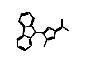 CC1=CC(=C(C)C)[C]=C1C1c2ccccc2-c2ccccc21